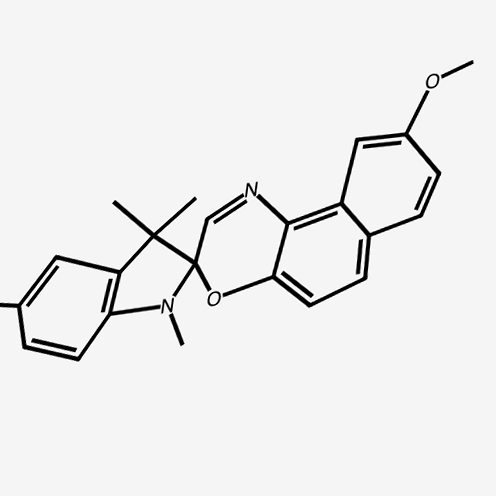 COc1ccc2ccc3c(c2c1)N=CC1(O3)N(C)c2ccc(C)cc2C1(C)C